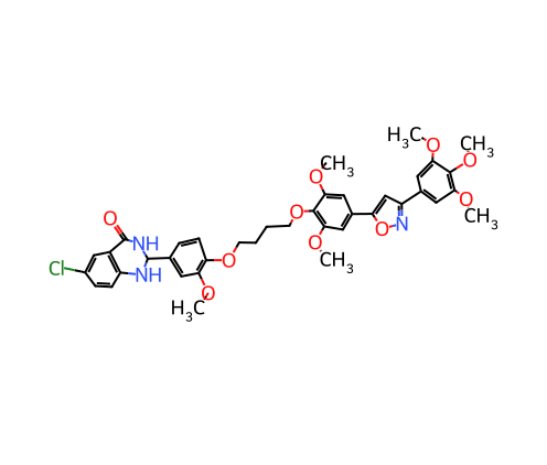 COc1cc(C2NC(=O)c3cc(Cl)ccc3N2)ccc1OCCCCOc1c(OC)cc(-c2cc(-c3cc(OC)c(OC)c(OC)c3)no2)cc1OC